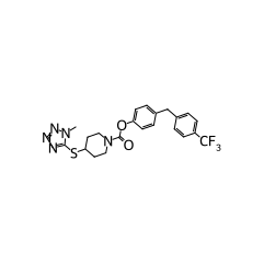 Cn1nnnc1SC1CCN(C(=O)Oc2ccc(Cc3ccc(C(F)(F)F)cc3)cc2)CC1